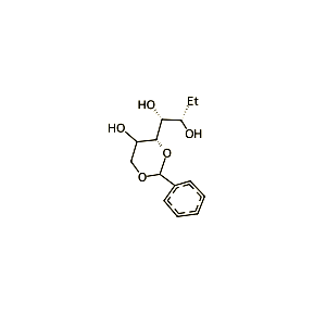 CC[C@H](O)[C@@H](O)[C@@H]1OC(c2ccccc2)OCC1O